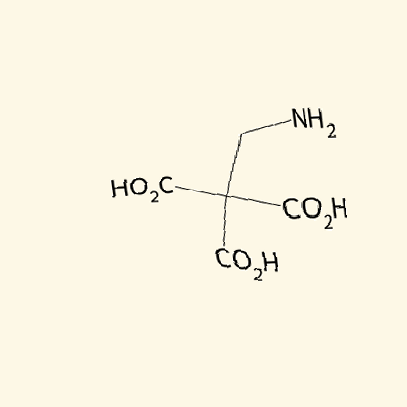 NCC(C(=O)O)(C(=O)O)C(=O)O